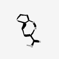 O=C(O)C1=CC=C2SCC=C2N=N1